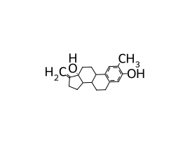 C=C1CCC2C3CCc4cc(O)c(C)cc4C3CC[C@]12O